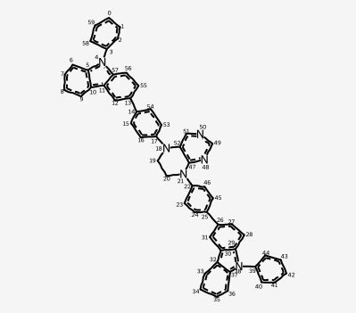 c1ccc(-n2c3ccccc3c3cc(-c4ccc(N5CCN(c6ccc(-c7ccc8c(c7)c7ccccc7n8-c7ccccc7)cc6)c6ncncc65)cc4)ccc32)cc1